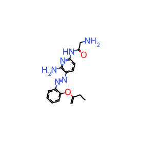 C=C(CC)Oc1ccccc1/N=N/c1ccc(NC(=O)CN)nc1N